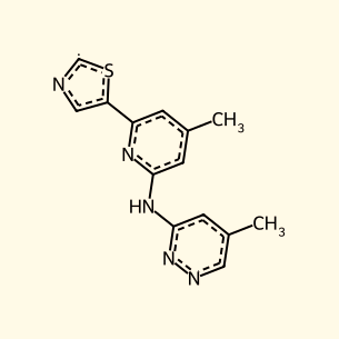 Cc1cnnc(Nc2cc(C)cc(-c3cn[c]s3)n2)c1